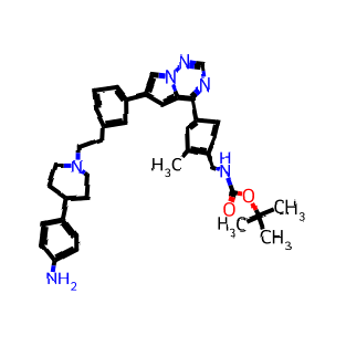 Cc1cc(-c2ncnn3cc(-c4cccc(CCN5CCC(c6ccc(N)cc6)CC5)c4)cc23)ccc1CNC(=O)OC(C)(C)C